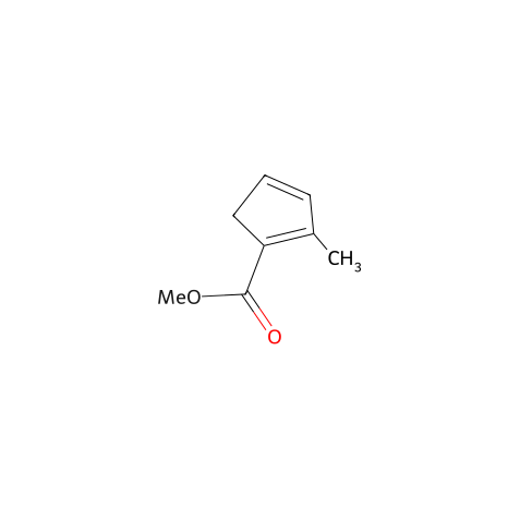 COC(=O)C1=C(C)C=CC1